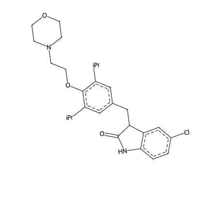 CC(C)c1cc(CC2C(=O)Nc3ccc(Cl)cc32)cc(C(C)C)c1OCCN1CCOCC1